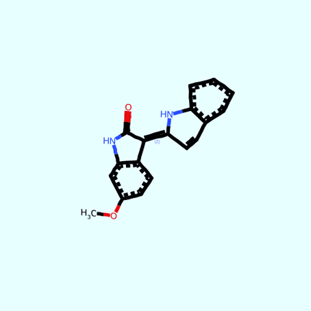 COc1ccc2c(c1)NC(=O)/C2=C1/C=Cc2ccccc2N1